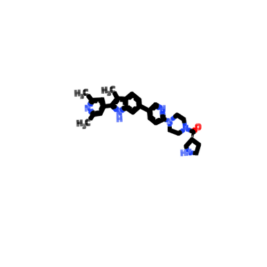 Cc1cc(-c2[nH]c3cc(-c4ccc(N5CCN(C(=O)[C@@H]6CCNC6)CC5)nc4)ccc3c2C)cc(C)n1